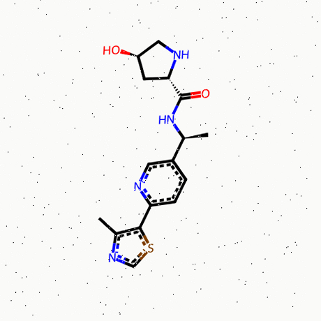 Cc1ncsc1-c1ccc([C@H](C)NC(=O)[C@@H]2C[C@@H](O)CN2)cn1